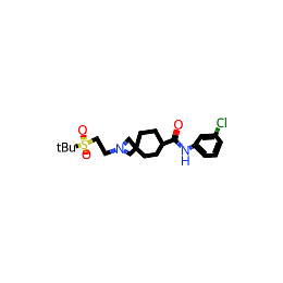 CC(C)(C)S(=O)(=O)CCN1CC2(CCC(C(=O)Nc3cccc(Cl)c3)CC2)C1